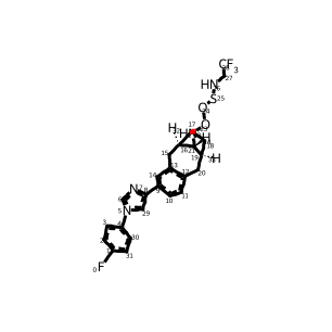 Fc1ccc(-n2cnc(-c3ccc4c(c3)C[C@H]3CC[C@@H](C4)[C@H]3NOOSNCC(F)(F)F)c2)cc1